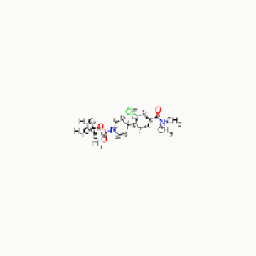 CN(C)C(=O)c1ccc(C2CCN(C(=O)OC(C)(C)C)CC2)c(Cl)c1